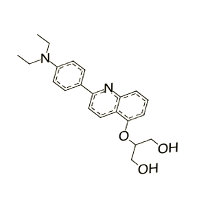 CCN(CC)c1ccc(-c2ccc3c(OC(CO)CO)cccc3n2)cc1